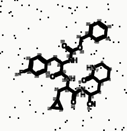 N#CC(CC1CCCNC1=O)NC(=O)C(CC1CC1)NC(=O)C(Cc1ccc(F)cc1)NC(=O)OCc1ccccc1